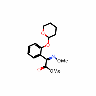 CON=C(C(=O)OC)c1ccccc1OC1CCCCO1